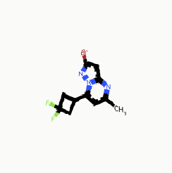 Cc1cc(C2CC(F)(F)C2)n2nc(Br)cc2n1